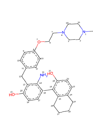 CN1CCN(CCOc2ccc(Cc3c(O)ccc(-c4c(O)ccc5c4CCCC5)c3N)cc2)CC1